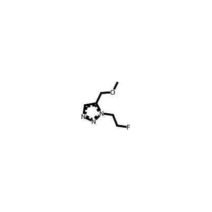 COCc1cnnn1CCF